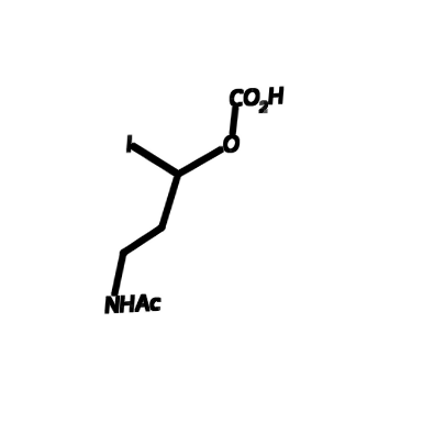 CC(=O)NCCC(I)OC(=O)O